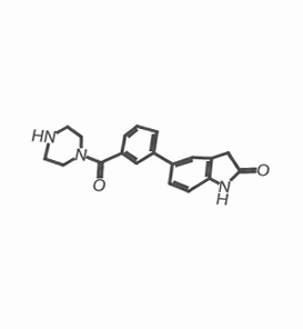 O=C1Cc2cc(-c3cccc(C(=O)N4CCNCC4)c3)ccc2N1